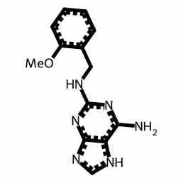 COc1ccccc1CNc1nc(N)c2[nH]cnc2n1